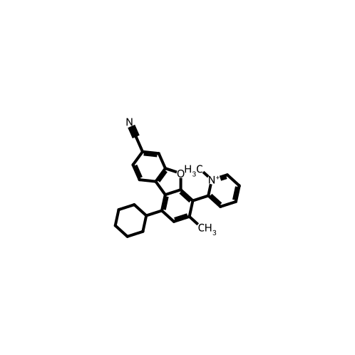 Cc1cc(C2CCCCC2)c2c(oc3cc(C#N)ccc32)c1-c1cccc[n+]1C